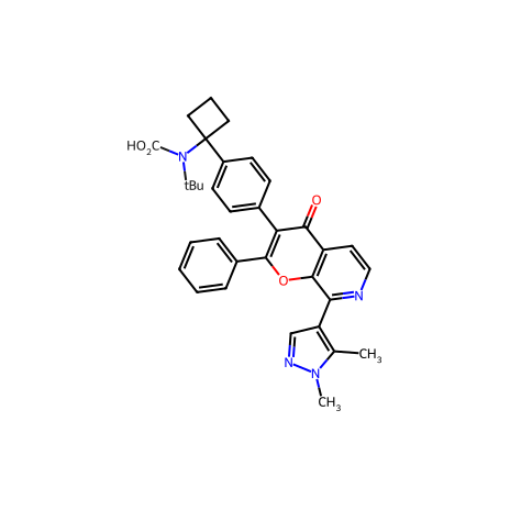 Cc1c(-c2nccc3c(=O)c(-c4ccc(C5(N(C(=O)O)C(C)(C)C)CCC5)cc4)c(-c4ccccc4)oc23)cnn1C